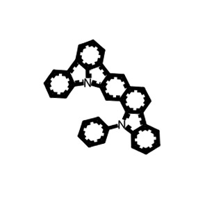 c1ccc(-n2c3ccccc3c3ccc4cc5c6cccc7c8ccccc8n(c5cc4c32)c76)cc1